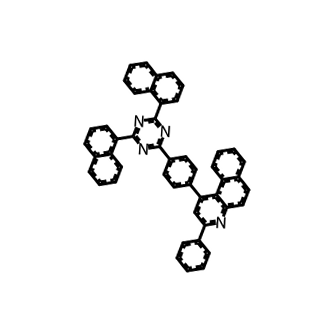 c1ccc(-c2cc(-c3ccc(-c4nc(-c5cccc6ccccc56)nc(-c5cccc6ccccc56)n4)cc3)c3c(ccc4ccccc43)n2)cc1